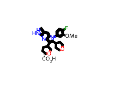 COc1cc(-n2c(C3CCOCC3)c(C3CC[C@@H](C(=O)O)OC3)c3nc4[nH]ncc4cc32)ccc1F